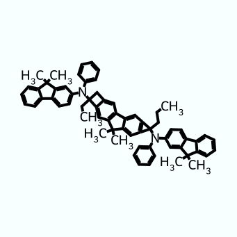 CCCC1(N(c2ccccc2)c2ccc3c(c2)C(C)(C)c2ccccc2-3)c2cc3c(cc21)C(C)(C)c1cc2c(cc1-3)CC2(CC)N(c1ccccc1)c1ccc2c(c1)C(C)(C)c1ccccc1-2